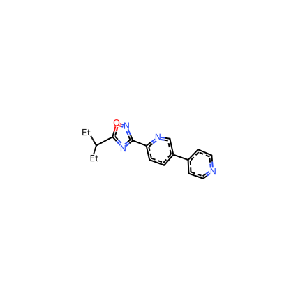 CCC(CC)c1nc(-c2ccc(-c3ccncc3)cn2)no1